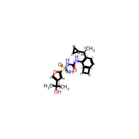 C[C@@H](c1ccc2c(c1NC(=O)N[S@](=N)(=O)c1cc(C(C)(C)O)co1)CC2)C1CC1